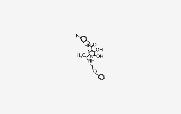 CC(CNCCCOCc1ccccc1)c1nc(O)c(O)c(C(=O)NCc2ccc(F)cc2)n1